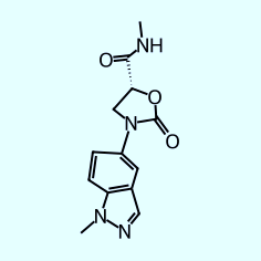 CNC(=O)[C@H]1CN(c2ccc3c(cnn3C)c2)C(=O)O1